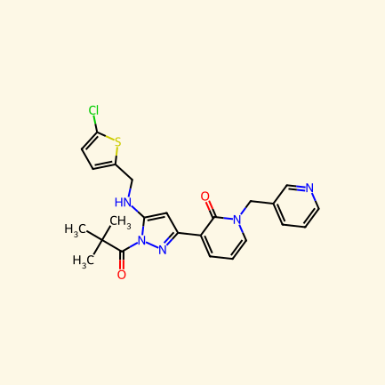 CC(C)(C)C(=O)n1nc(-c2cccn(Cc3cccnc3)c2=O)cc1NCc1ccc(Cl)s1